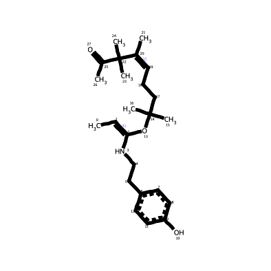 C/C=C(\NCCc1ccc(O)cc1)OC(C)(C)CC/C=C(/C)C(C)(C)C(C)=O